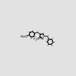 COc1ccc(Cc2cn(Cc3ccccc3)nc2C(F)(F)F)cc1